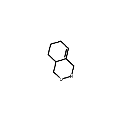 C1=C2C[N]OCC2CCC1